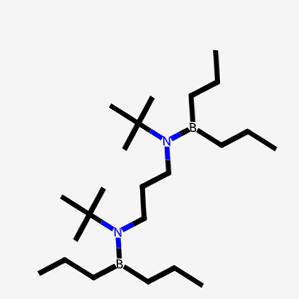 CCCB(CCC)N(CCCN(B(CCC)CCC)C(C)(C)C)C(C)(C)C